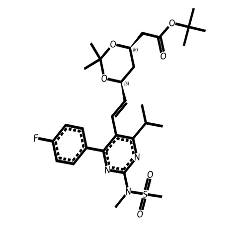 CC(C)c1nc(N(C)S(C)(=O)=O)nc(-c2ccc(F)cc2)c1C=C[C@@H]1C[C@H](CC(=O)OC(C)(C)C)OC(C)(C)O1